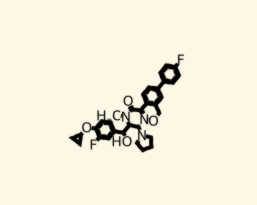 CN(C(=O)C1=NOCc2cc(-c3ccc(F)cc3)ccc21)C(CN1CCCC1)C(O)c1ccc(OC2CC2)c(F)c1